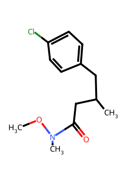 CON(C)C(=O)CC(C)Cc1ccc(Cl)cc1